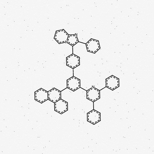 c1ccc(-c2cc(-c3ccccc3)nc(-c3cc(-c4ccc(-c5c(-c6ccccc6)nc6ccccn56)cc4)cc(-c4cc5ccccc5c5ccccc45)c3)c2)cc1